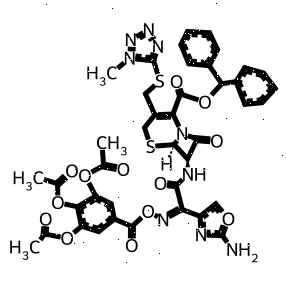 CC(=O)Oc1cc(C(=O)O/N=C(\C(=O)N[C@@H]2C(=O)N3C(C(=O)OC(c4ccccc4)c4ccccc4)=C(CSc4nnnn4C)CS[C@H]23)c2coc(N)n2)cc(OC(C)=O)c1OC(C)=O